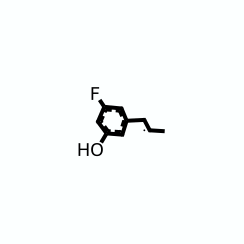 C[CH]Cc1cc(O)cc(F)c1